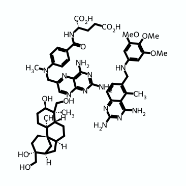 CN(Cc1cnc2nc(N)nc(N)c2n1)c1ccc(C(=O)N[C@@H](CCC(=O)O)C(=O)O)cc1.COc1cc(NCc2ccc3nc(N)nc(N)c3c2C)cc(OC)c1OC.C[C@@]1(CO)[C@H](O)CC[C@@]2(C)[C@H]1CC[C@H]1C[C@@H]3C[C@@]12CC[C@]3(O)CO